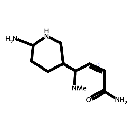 CNC(/C=C\C(N)=O)C1CCC(N)NC1